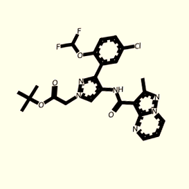 Cc1nn2cccnc2c1C(=O)Nc1cn(CC(=O)OC(C)(C)C)nc1-c1cc(Cl)ccc1OC(F)F